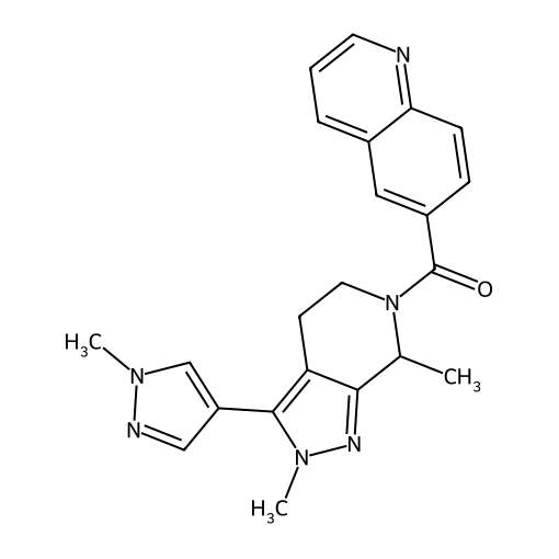 CC1c2nn(C)c(-c3cnn(C)c3)c2CCN1C(=O)c1ccc2ncccc2c1